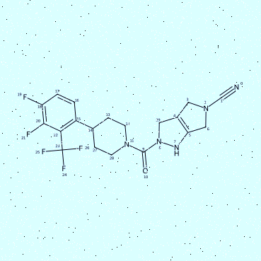 N#CN1CC2=C(C1)NN(C(=O)N1CCC(c3ccc(F)c(F)c3C(F)(F)F)CC1)C2